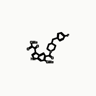 COC(=O)C(=O)c1c[nH]c2cc(OC)c(C(=O)N3CCC(Cc4ccc(F)cc4)CC3)cc12